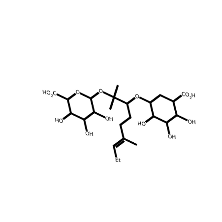 CC/C=C(\C)CCC(OC1CC(C(=O)O)C(O)C(O)C1O)C(C)(C)OC1OC(C(=O)O)C(O)C(O)C1O